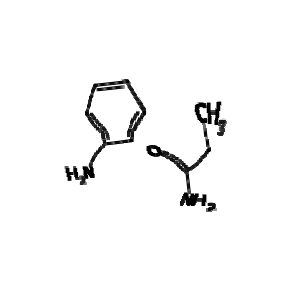 CCC(N)=O.Nc1ccccc1